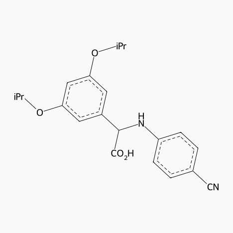 CC(C)Oc1cc(OC(C)C)cc(C(Nc2ccc(C#N)cc2)C(=O)O)c1